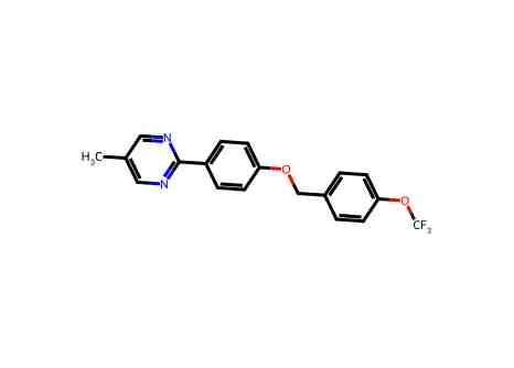 Cc1cnc(-c2ccc(OCc3ccc(OC(F)(F)F)cc3)cc2)nc1